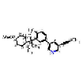 CC#Cc1cncc(-c2ccc(C)c(C(C)(C)[C@]3(C)CC[C@@H](OC)CC3)c2)c1